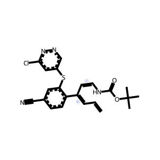 C=C/C=C(\C=C/NC(=O)OC(C)(C)C)c1ccc(C#N)cc1Sc1cnnc(Cl)c1